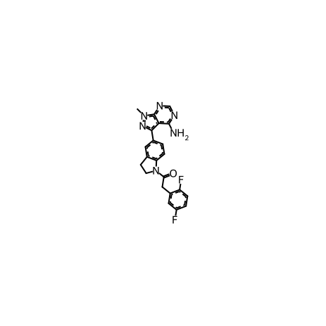 Cn1nc(-c2ccc3c(c2)CCN3C(=O)Cc2cc(F)ccc2F)c2c(N)ncnc21